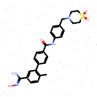 Cc1ccc(/C(N)=N/O)cc1-c1ccc(C(=O)Nc2ccc(CN3CCS(=O)(=O)CC3)cc2)cc1